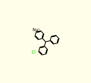 [Cl-].[Na+].c1ccc(C(c2ccccc2)c2ccccc2)cc1